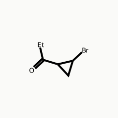 CCC(=O)C1CC1Br